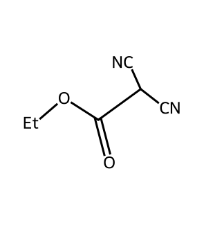 CCOC(=O)C(C#N)C#N